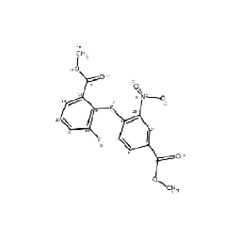 COC(=O)c1ccc(Sc2c(F)cccc2C(=O)OC)c([N+](=O)[O-])c1